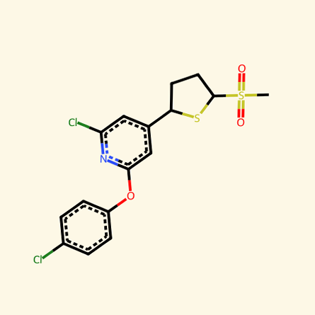 CS(=O)(=O)C1CCC(c2cc(Cl)nc(Oc3ccc(Cl)cc3)c2)S1